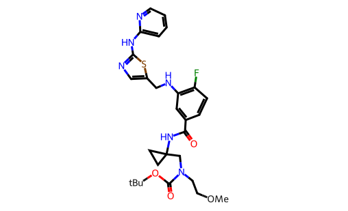 COCCN(CC1(NC(=O)c2ccc(F)c(NCc3cnc(Nc4ccccn4)s3)c2)CC1)C(=O)OC(C)(C)C